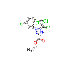 CCOC(=O)c1nc(C(Cl)(Cl)Cl)n(-c2cccc(Cl)c2)n1